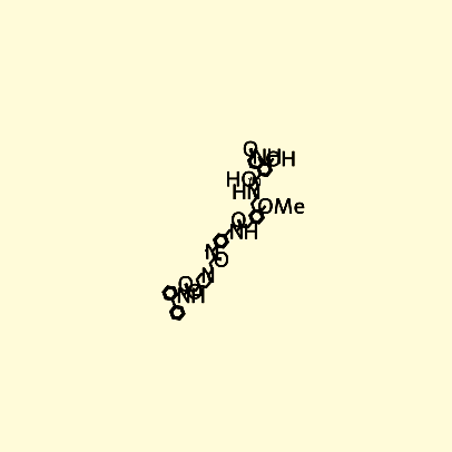 COc1ccc(CC(=O)NCc2ccc(N(C)C(=O)CCN3CCC(OC(=O)Nc4ccccc4-c4ccccc4)CC3)cc2)cc1CCNC[C@H](O)c1ccc(O)c2[nH]c(=O)ccc12